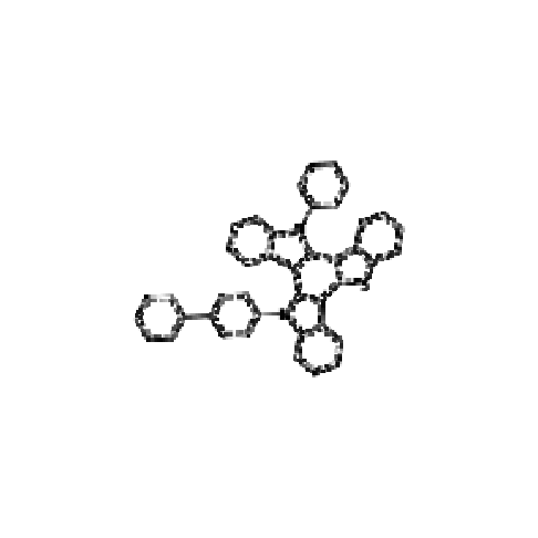 c1ccc(-c2ccc(-n3c4ccccc4c4c5sc6ccccc6c5c5c(c6ccccc6n5-c5ccccc5)c43)cc2)cc1